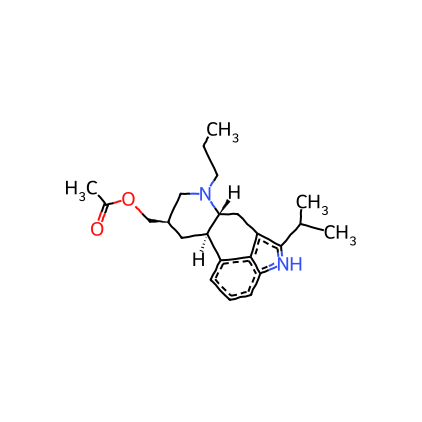 CCCN1C[C@H](COC(C)=O)C[C@@H]2c3cccc4[nH]c(C(C)C)c(c34)C[C@H]21